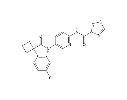 O=C(Nc1ccc(NC(=O)C2(c3ccc(Cl)cc3)CCC2)cn1)c1cscn1